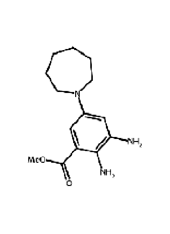 COC(=O)c1cc(N2CCCCCC2)cc(N)c1N